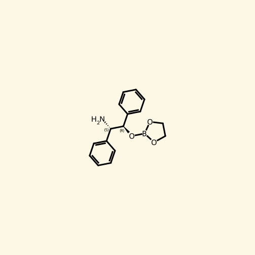 N[C@@H](c1ccccc1)[C@H](OB1OCCO1)c1ccccc1